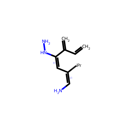 C=CC(=C)/C(=C\C(=C/N)C(C)C)NN